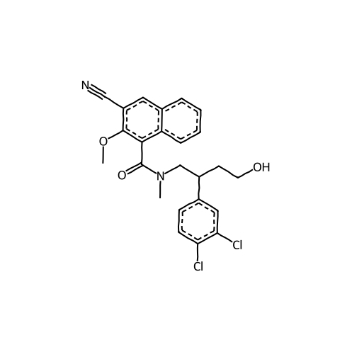 COc1c(C#N)cc2ccccc2c1C(=O)N(C)CC(CCO)c1ccc(Cl)c(Cl)c1